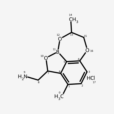 Cc1ccc2c3c1C(CN)OB3OC(C)CO2.Cl